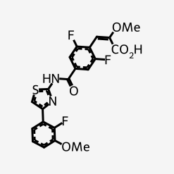 COC(=Cc1c(F)cc(C(=O)Nc2nc(-c3cccc(OC)c3F)cs2)cc1F)C(=O)O